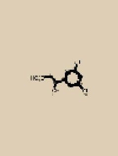 O=C(O)CC(O)c1cc(Cl)cc(Cl)c1